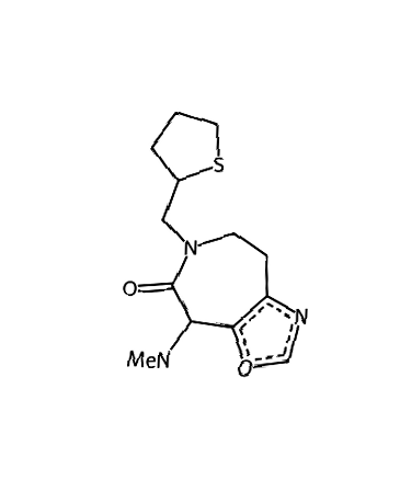 CNC1C(=O)N(CC2CCCS2)CCc2ncoc21